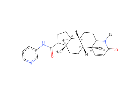 CCN1C(=O)C=C[C@@]2(C)C1CC[C@@H]1[C@H]2CC[C@]2(C)C(C(=O)Nc3cccnc3)CC[C@@H]12